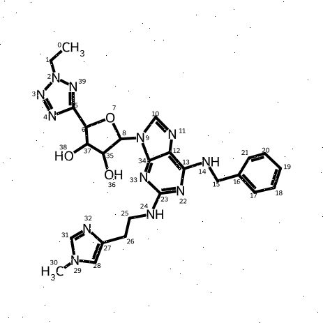 CCn1nnc(C2OC(n3cnc4c(NCc5ccccc5)nc(NCCc5cn(C)cn5)nc43)C(O)C2O)n1